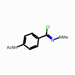 CNN=C(Cl)c1ccc(NC(C)=O)cc1